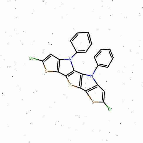 Brc1cc2c(s1)c1sc3c4sc(Br)cc4n(-c4ccccc4)c3c1n2-c1ccccc1